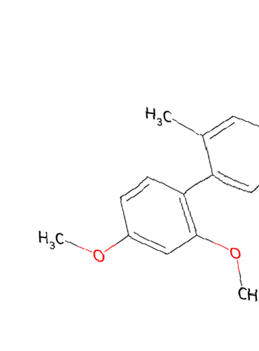 COc1ccc(-c2cc[c]cc2C)c(OC)c1